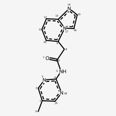 Cc1cnc(NC(=O)Cc2cccc3nccn23)nc1